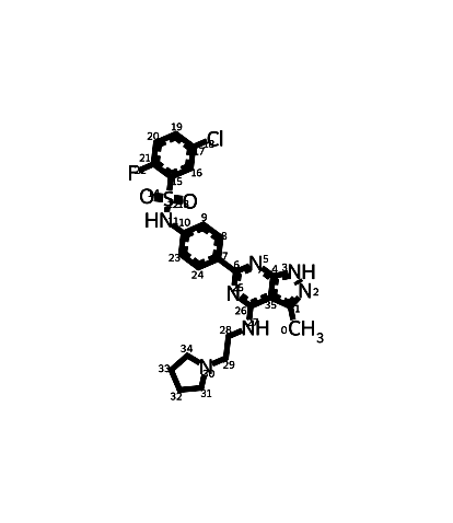 Cc1n[nH]c2nc(-c3ccc(NS(=O)(=O)c4cc(Cl)ccc4F)cc3)nc(NCCN3CCCC3)c12